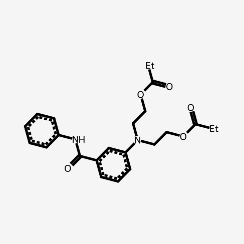 CCC(=O)OCCN(CCOC(=O)CC)c1cccc(C(=O)Nc2ccccc2)c1